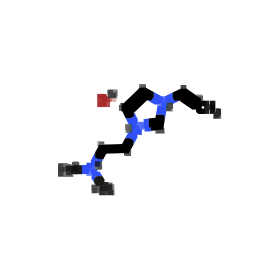 C=Cn1cc[n+](CCN(CC)CC)c1.[Br-]